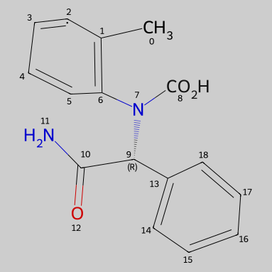 Cc1[c]cccc1N(C(=O)O)[C@@H](C(N)=O)c1ccccc1